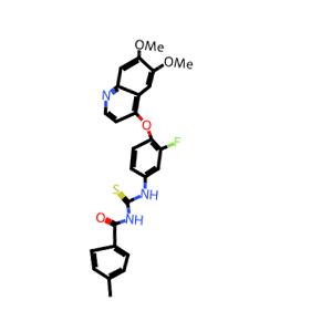 COc1cc2nccc(Oc3ccc(NC(=S)NC(=O)c4ccc(C)cc4)cc3F)c2cc1OC